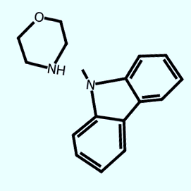 C1COCCN1.Cn1c2ccccc2c2ccccc21